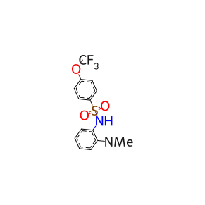 CNc1ccccc1NS(=O)(=O)c1ccc(OC(F)(F)F)cc1